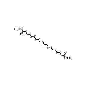 COC(=O)CCCCCCCCC=CCCCCCCCCC(=O)OC